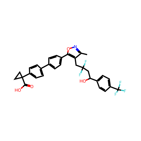 Cc1noc(-c2ccc(-c3ccc(C4(C(=O)O)CC4)cc3)cc2)c1CC(F)(F)CC(O)c1ccc(C(F)(F)F)cc1